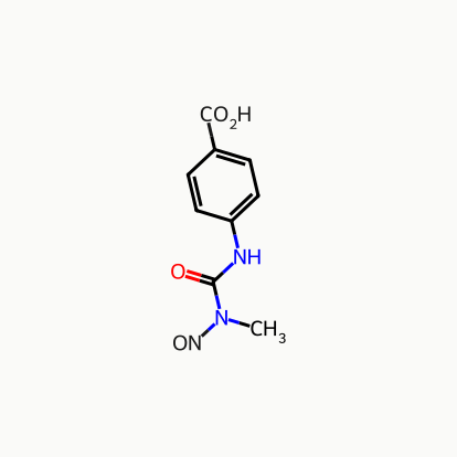 CN(N=O)C(=O)Nc1ccc(C(=O)O)cc1